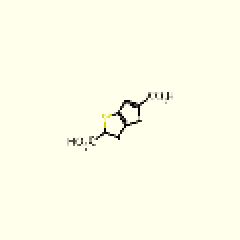 O=C(O)C1=CC2=C(C1)CC(C(=O)O)S2